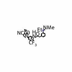 CC/C(=C\NC)c1cccc(CC(=O)CNc2cc(N3CCC(C#N)(C4CC4)C3=O)cc(C(F)(F)F)n2)c1